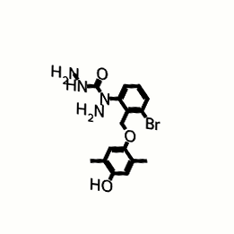 Cc1cc(OCc2c(Br)cccc2N(N)C(=O)NN)c(C)cc1O